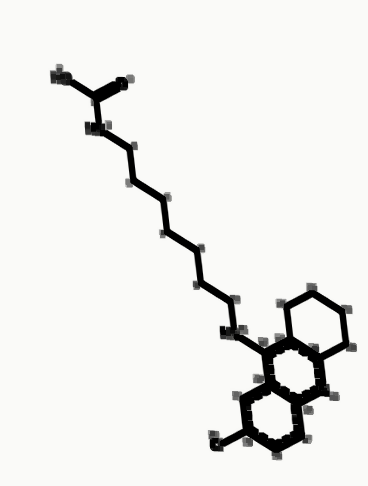 O=C(O)NCCCCCCCNc1c2c(nc3ccc(Cl)cc13)CCCC2